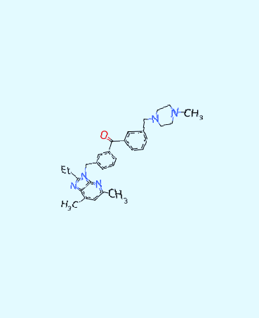 CCc1nc2c(C)cc(C)nc2n1Cc1cccc(C(=O)c2cccc(CN3CCN(C)CC3)c2)c1